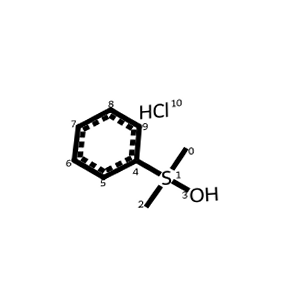 CS(C)(O)c1ccccc1.Cl